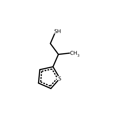 CC(CS)c1cccs1